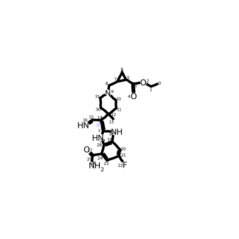 CCOC(=O)C1CC1CN1CCC(C)(/C(C=N)=C2\Nc3cc(F)cc(C(N)=O)c3N2)CC1